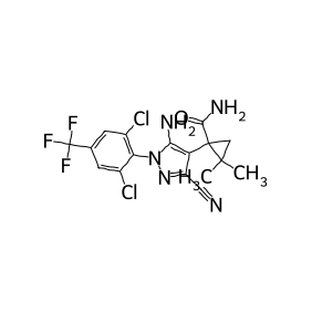 CC1(C)CC1(C(N)=O)c1c(C#N)nn(-c2c(Cl)cc(C(F)(F)F)cc2Cl)c1N